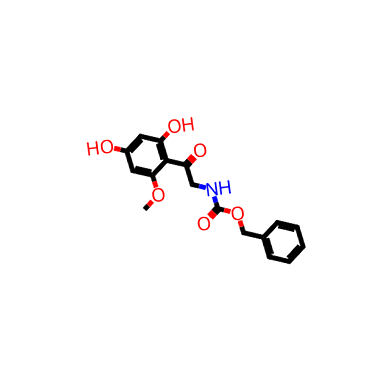 COc1cc(O)cc(O)c1C(=O)CNC(=O)OCc1ccccc1